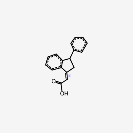 O=C(O)/C=C1/CC(c2ccccc2)c2ccccc21